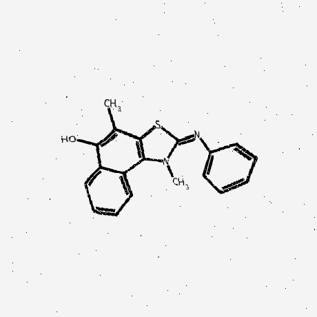 Cc1c(O)c2ccccc2c2c1s/c(=N/c1ccccc1)n2C